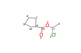 CC(Cl)OC(=O)C1CCCC1